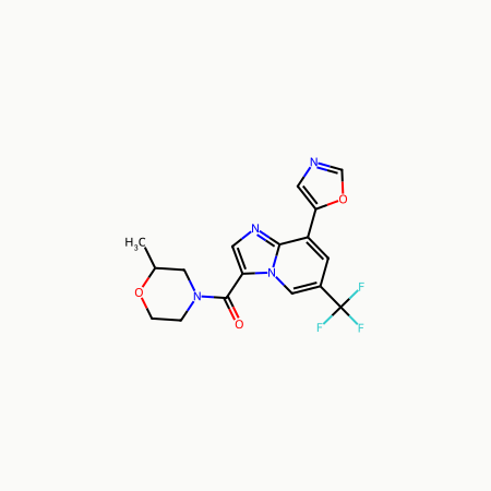 CC1CN(C(=O)c2cnc3c(-c4cnco4)cc(C(F)(F)F)cn23)CCO1